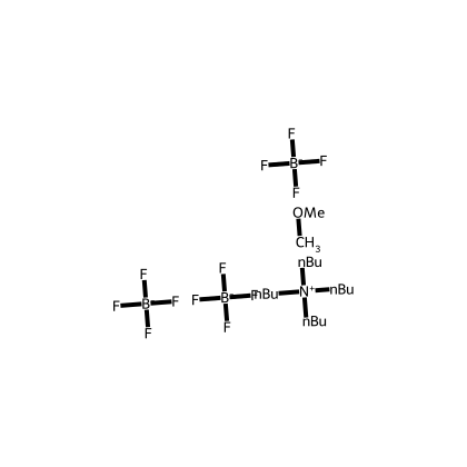 CCCC[N+](CCCC)(CCCC)CCCC.COC.F[B-](F)(F)F.F[B-](F)(F)F.F[B-](F)(F)F